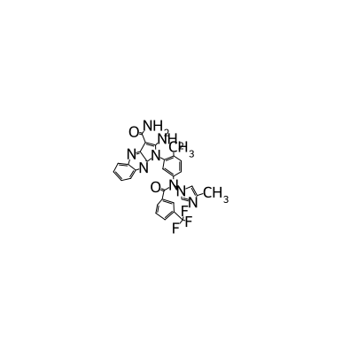 Cc1cn(N(C(=O)c2cccc(C(F)(F)F)c2)c2ccc(C)c(-n3c(N)c(C(N)=O)c4nc5ccccc5nc43)c2)cn1